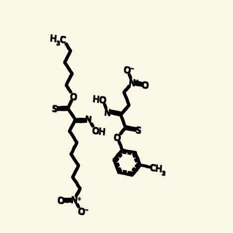 CCCCCOC(=S)C(CCCCCC[N+](=O)[O-])=NO.Cc1cccc(OC(=S)C(CC[N+](=O)[O-])=NO)c1